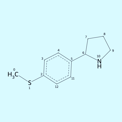 CSc1ccc(C2CCCN2)cc1